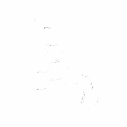 COC(=O)Cc1ccc(OC)c(-c2ccc(C)cc2CN[C@H]2c3ccccc3C[C@H]2O)c1